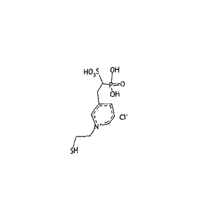 O=P(O)(O)C(Cc1ccc[n+](CCS)c1)S(=O)(=O)O.[Cl-]